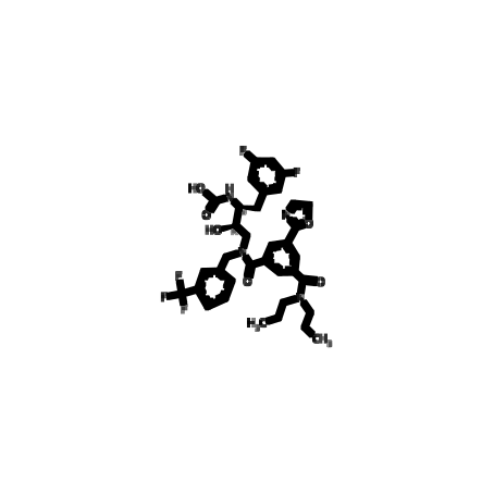 CCCN(CCC)C(=O)c1cc(C(=O)N(Cc2cccc(C(F)(F)F)c2)C[C@@H](O)[C@H](Cc2cc(F)cc(F)c2)NC(=O)O)cc(-c2ncco2)c1